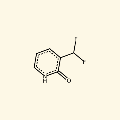 O=c1[nH]cccc1C(F)F